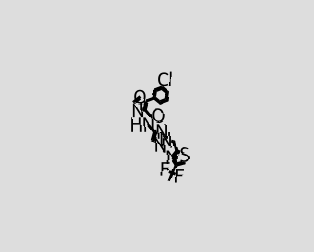 CC(F)(F)c1csc(Cn2ncc(NC(=O)c3ncoc3-c3cccc(Cl)c3)n2)n1